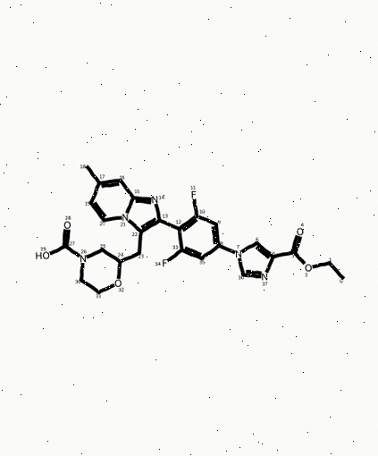 CCOC(=O)c1cn(-c2cc(F)c(-c3nc4cc(C)ccn4c3CC3CN(C(=O)O)CCO3)c(F)c2)cn1